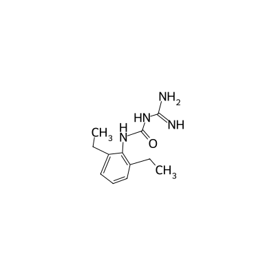 CCc1cccc(CC)c1NC(=O)NC(=N)N